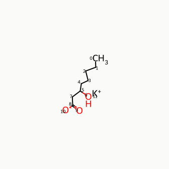 CCCCCC(O)CC(=O)[O-].[K+]